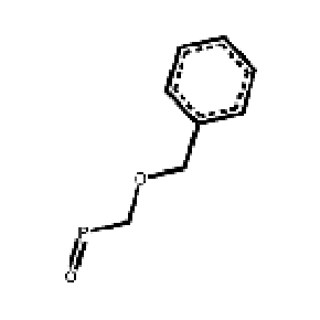 O=PCOCc1ccccc1